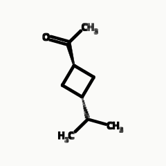 CC(=O)[C@H]1C[C@H](C(C)C)C1